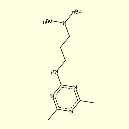 CCCCN(CCCC)CCCNc1nc(C)nc(C)n1